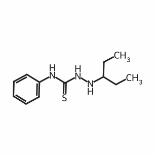 CCC(CC)NNC(=S)Nc1ccccc1